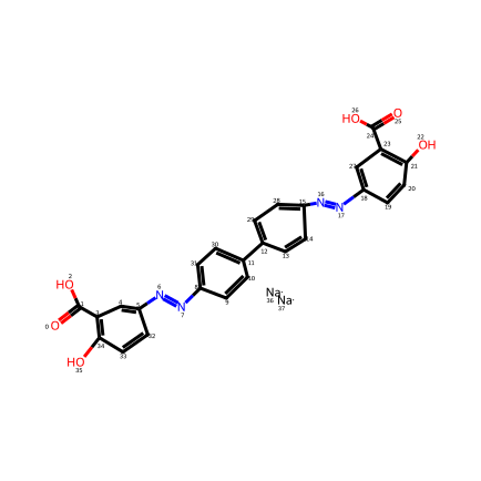 O=C(O)c1cc(N=Nc2ccc(-c3ccc(N=Nc4ccc(O)c(C(=O)O)c4)cc3)cc2)ccc1O.[Na].[Na]